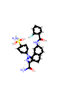 NC(=O)c1nn(-c2ccc(S(N)(=O)=O)cc2)c2c1ccc1ccc(NC(=O)c3ccccc3F)cc12